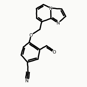 N#Cc1ccc(OCc2cccn3ccnc23)c(C=O)c1